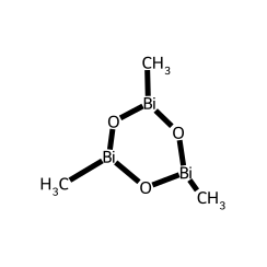 [CH3][Bi]1[O][Bi]([CH3])[O][Bi]([CH3])[O]1